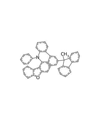 CC1(c2cccc(-c3ccccc3N(c3ccccc3)c3cccc4oc5ccccc5c34)c2)c2ccccc2-c2ccccc21